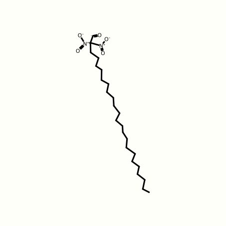 CCCCCCCCCCCCCCCCCCCCCCC([C]=O)([N+](=O)[O-])[N+](=O)[O-]